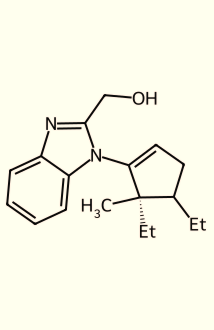 CCC1CC=C(n2c(CO)nc3ccccc32)[C@@]1(C)CC